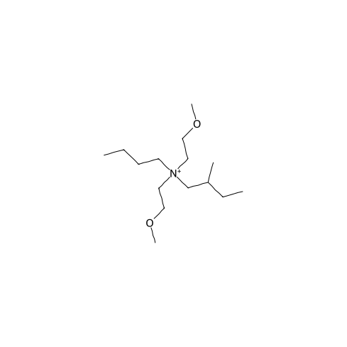 CCCC[N+](CCOC)(CCOC)CC(C)CC